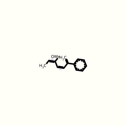 C=C(/C=C\C(=C/C)OC)c1ccccc1